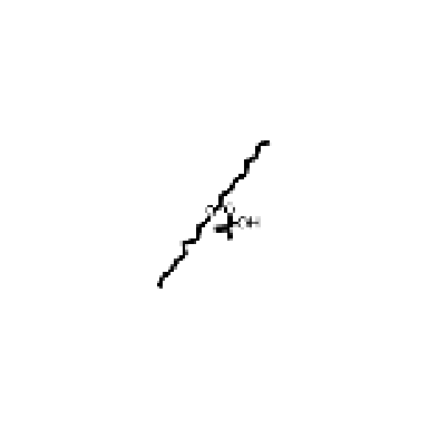 C=C(C)C(=O)O.CCCCCCCCCOCCCCCCCCC